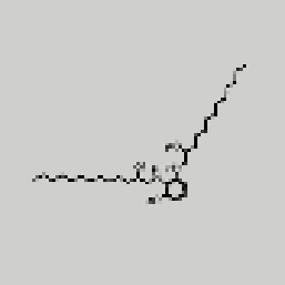 CCCCCCCCCCCC(O)CNc1cccc(O)c1NCC(O)CCCCCCCCCCC